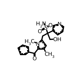 Cc1cc(CC(CO)(c2cccnc2)S(N)(=O)=O)n(C)c1C(=O)c1ccccc1